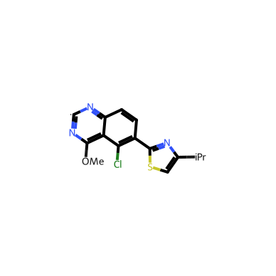 COc1n[c]nc2ccc(-c3nc(C(C)C)cs3)c(Cl)c12